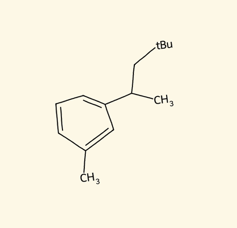 Cc1cccc(C(C)CC(C)(C)C)c1